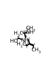 C=C/C(=C\C)C[C@H](NCO)C(C)NC